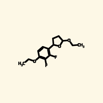 CCOc1ccc(C2CCC(OCC)O2)c(F)c1F